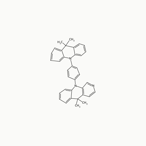 CC1(C)c2ccccc2N(c2ccc(N3c4ccccc4C(C)(C)c4ccncc43)cc2)c2ccccc21